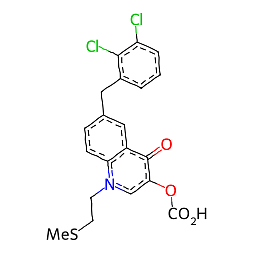 CSCCn1cc(OC(=O)O)c(=O)c2cc(Cc3cccc(Cl)c3Cl)ccc21